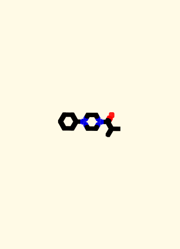 CC(C)C(=O)N1CCN(C2CCCCC2)CC1